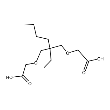 CCCCC(CC)(COCC(=O)O)COCC(=O)O